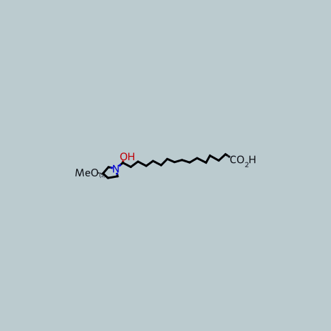 CO[C@H]1CCN(C(O)CCCCCCCCCCCCCCC(=O)O)C1